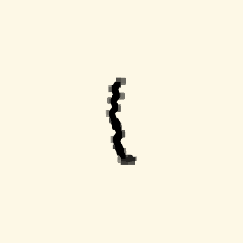 CCCC#CC=CC#CCCCCCI